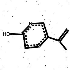 C=C(C)c1ccc(O)nc1